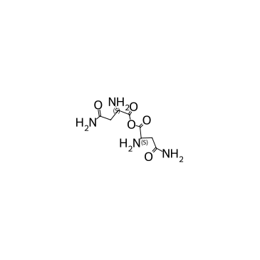 NC(=O)C[C@H](N)C(=O)OC(=O)[C@@H](N)CC(N)=O